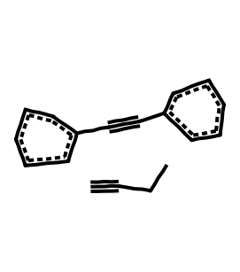 C#CCC.C(#Cc1ccccc1)c1ccccc1